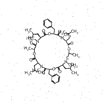 CC(C)CC1C(=O)OC(Cc2ccccc2)C(=O)N(C)C(CC(C)C)C(=O)OC(C)C(=O)N(C)C(CC(C)C)C(=O)OC(Cc2ccccc2)C(=O)N(C)C(CC(C)C)C(=O)OC(C)CN1C